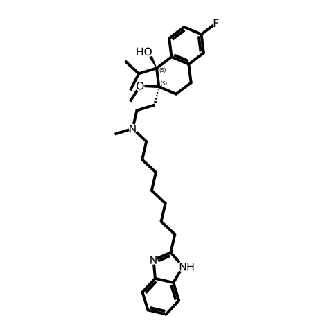 CO[C@]1(CCN(C)CCCCCCCc2nc3ccccc3[nH]2)CCc2cc(F)ccc2[C@@]1(O)C(C)C